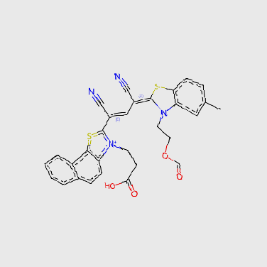 Cc1ccc2c(c1)N(CCOC=O)/C(=C(C#N)\C=C(/C#N)c1sc3c4ccccc4ccc3[n+]1CCC(=O)O)S2